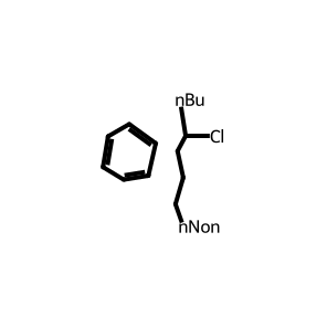 CCCCCCCCCCCCC(Cl)CCCC.c1ccccc1